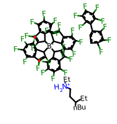 CCCCC(CC)CC[NH2+]CC.FC1=C(F)C([B-](C2C(F)=C(F)c3c(F)c(F)c(F)c(F)c32)(C2C(F)=C(F)c3c(F)c(F)c(F)c(F)c32)C2C(F)=C(F)c3c(F)c(F)c(F)c(F)c32)c2c(F)c(F)c(F)c(F)c21.Fc1ccc(-c2c(F)c(F)c(F)c(F)c2F)c(F)c1F